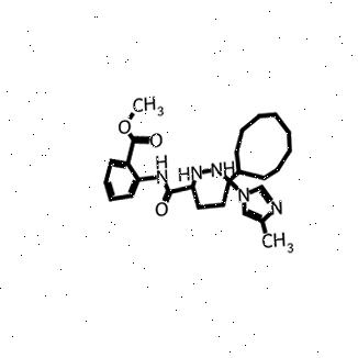 COC(=O)c1ccccc1NC(=O)C1CCC(C2CCCCCCCC2)(n2cnc(C)c2)NN1